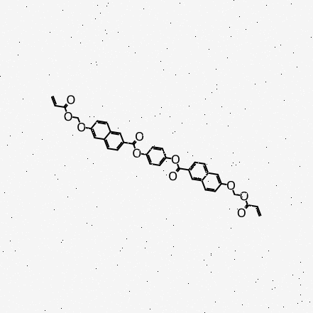 C=CC(=O)OCOc1ccc2cc(C(=O)Oc3ccc(OC(=O)c4ccc5cc(OCOC(=O)C=C)ccc5c4)cc3)ccc2c1